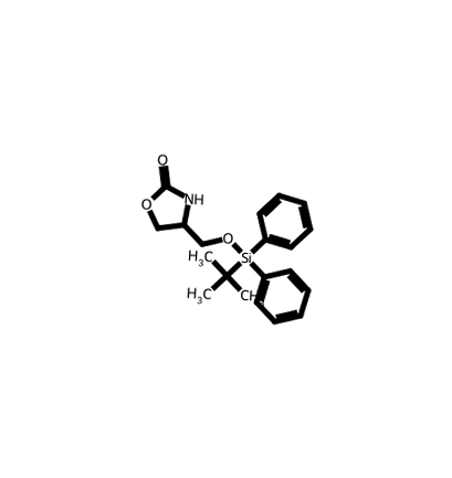 CC(C)(C)[Si](OCC1COC(=O)N1)(c1ccccc1)c1ccccc1